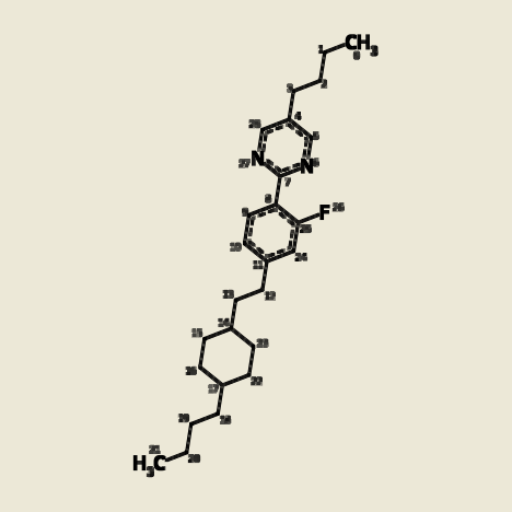 CCCCc1cnc(-c2ccc(CCC3CCC(CCCC)CC3)cc2F)nc1